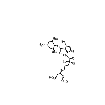 CCC(CC)(CCCSC(CC(=O)O)OC=O)C(=O)Nc1[nH]cc(C(C)C)c1C(=O)OC1C(C(C)(C)C)CC(C)CC1C(C)(C)C